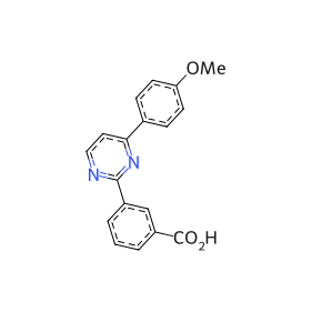 COc1ccc(-c2ccnc(-c3cccc(C(=O)O)c3)n2)cc1